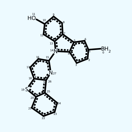 Bc1ccc2c(c1)c1ccc(O)cc1n2-c1ccc2sc3ccccc3c2n1